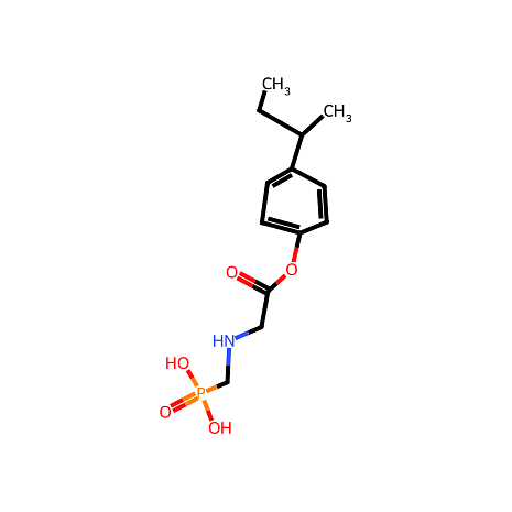 CCC(C)c1ccc(OC(=O)CNCP(=O)(O)O)cc1